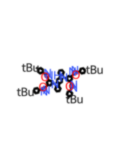 CC(C)(C)c1ccc(C2=NNC(c3cc(-c4nnc(-c5ccc(C(C)(C)C)cc5)o4)cc(-n4c5ccccc5c5cc6c(cc54)c4ccccc4n6-c4cc(-c5nnc(-c6ccc(C(C)(C)C)cc6)o5)cc(-c5nnc(-c6ccc(C(C)(C)C)cc6)o5)c4)c3)O2)cc1